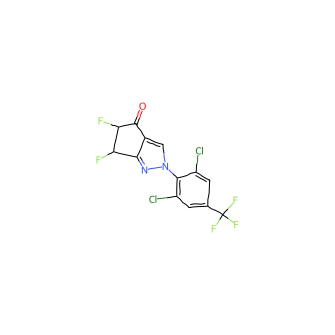 O=C1c2cn(-c3c(Cl)cc(C(F)(F)F)cc3Cl)nc2C(F)C1F